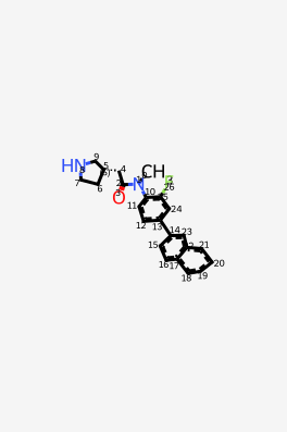 CN(C(=O)C[C@@H]1CCNC1)c1ccc(-c2ccc3ccccc3c2)cc1F